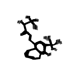 CC(C(=O)C=Cc1cc(C(C)(C)C)c(O)c2c1CCCC2)P(=O)(O)O